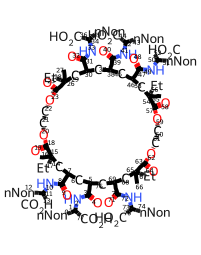 CCCCCCCCCC(NC(=O)C1CC(C(=O)NC(CCCCCCCCC)C(=O)O)CC(C)(CC)C(=O)OCCOC(=O)C(C)(CC)CC(C(=O)NC(CCCCCCCCC)C(=O)O)CC(C(=O)NC(CCCCCCCCC)C(=O)O)CC(C(=O)NC(CCCCCCCCC)C(=O)O)CC(C)(CC)C(=O)OCCOC(=O)C(C)(CC)CC(C(=O)NC(CCCCCCCCC)C(=O)O)C1)C(=O)O